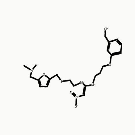 CN(C)Cc1ccc(CSCCNC(=C[N+](=O)[O-])NCCCOc2cccc(CO)c2)o1